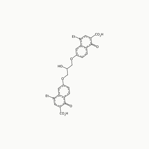 CCn1cc(C(=O)O)c(=O)c2ccc(OCC(O)COc3ccc4c(=O)c(C(=O)O)cn(CC)c4c3)cc21